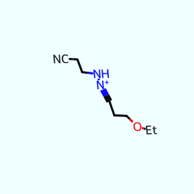 CCOCCC#[N+]NCCC#N